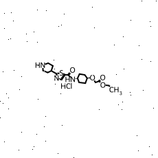 CCOC(=O)CO[C@H]1CC[C@H](NC(=O)c2cnc(C3CCNCC3)s2)CC1.Cl